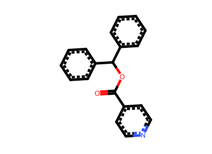 O=C(OC(c1ccccc1)c1ccccc1)c1ccncc1